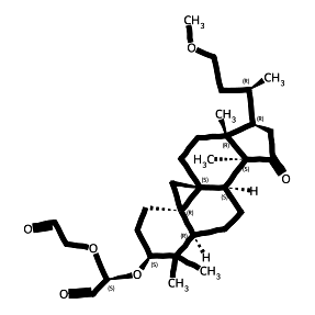 COCC[C@@H](C)[C@H]1CC(=O)[C@@]2(C)[C@H]3CC[C@H]4C(C)(C)[C@@H](O[C@@H](C=O)OCC=O)CC[C@@]45C[C@@]35CC[C@]12C